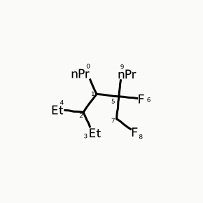 CCCC(C(CC)CC)C(F)(CF)CCC